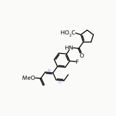 C=C(/C=C(\C=C/C)c1ccc(NC(=O)C2=C(C(=O)O)CCC2)c(F)c1)OC